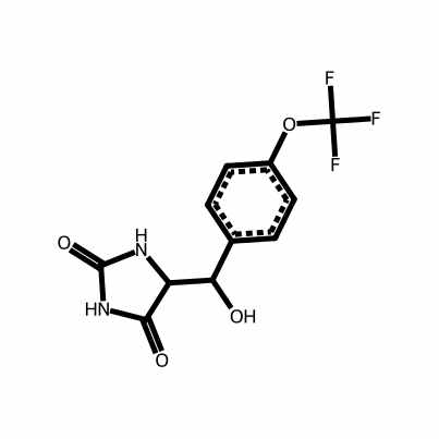 O=C1NC(=O)C(C(O)c2ccc(OC(F)(F)F)cc2)N1